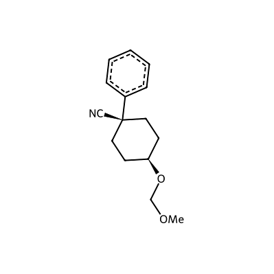 COCO[C@H]1CC[C@](C#N)(c2ccccc2)CC1